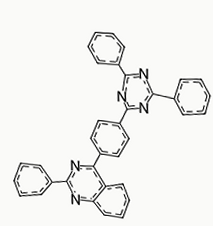 c1ccc(-c2nc(-c3ccccc3)nc(-c3ccc(-c4nc(-c5ccccc5)nc5ccccc45)cc3)n2)cc1